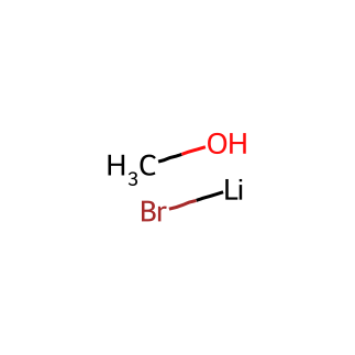 CO.[Li][Br]